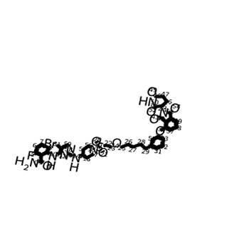 NC(=O)c1c(F)cccc1Nc1nc(NC2CCN(S(=O)(=O)CCOCCCCCc3cccc(Oc4cccc5c4C(=O)N(C4CCC(=O)NC4=O)C5=O)c3)CC2)ncc1Br